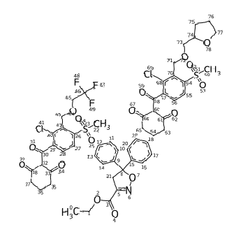 CCOC(=O)C1=NOC(c2ccccc2)(c2ccccc2)C1.CS(=O)(=O)c1ccc(C(=O)C2C(=O)CCCC2=O)c(Cl)c1COCC(F)(F)F.CS(=O)(=O)c1ccc(C(=O)C2C(=O)CCCC2=O)c(Cl)c1COCC1CCCO1